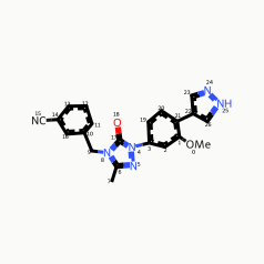 COc1cc(-n2nc(C)n(Cc3cccc(C#N)c3)c2=O)ccc1-c1cn[nH]c1